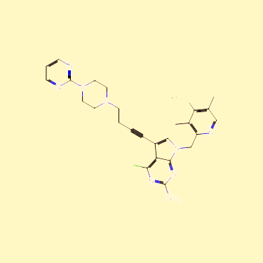 COc1c(C)cnc(Cn2cc(C#CCCN3CCN(c4ncccn4)CC3)c3c(Cl)nc(N)nc32)c1C